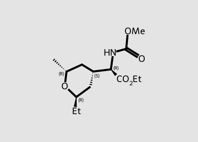 CCOC(=O)[C@H](NC(=O)OC)[C@@H]1C[C@@H](CC)O[C@H](C)C1